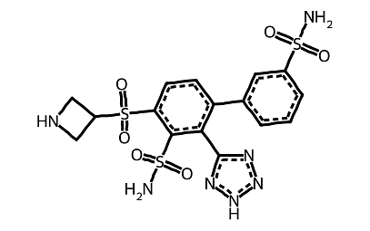 NS(=O)(=O)c1cccc(-c2ccc(S(=O)(=O)C3CNC3)c(S(N)(=O)=O)c2-c2nn[nH]n2)c1